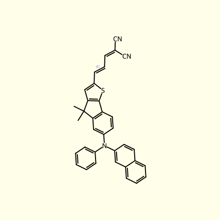 CC1(C)c2cc(N(c3ccccc3)c3ccc4ccccc4c3)ccc2-c2sc(/C=C/C=C(C#N)C#N)cc21